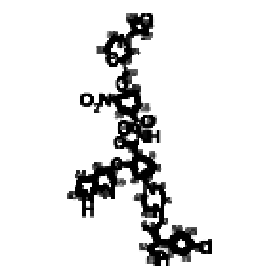 C/C(CN1CCN(c2ccc(C(=O)NS(=O)(=O)c3ccc(OC[C@H]4CN(C5COC5)CCO4)c([N+](=O)[O-])c3)c(Oc3cnc4[nH]ccc4c3)c2)CC1)=C(\CC(C)C)c1ccc(Cl)cc1